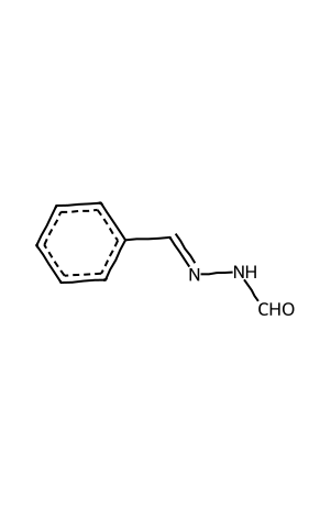 O=CNN=Cc1ccccc1